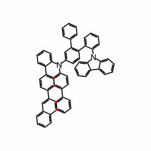 c1ccc(-c2ccc(N(c3ccc(-c4ccccc4-n4c5ccccc5c5ccccc54)c(-c4ccccc4)c3)c3ccccc3-c3ccc(-c4ccc5ccccc5c4)cc3)cc2)cc1